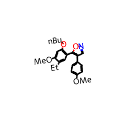 CCCCOc1cc(OC)c(CC)cc1-c1oncc1-c1ccc(OC)cc1